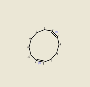 [CH]1CC/C=C\CCC/C=C\CC1